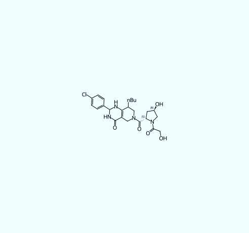 CCCCC1CN(C(=O)[C@@H]2C[C@@H](O)CN2C(=O)CO)CC2=C1NC(c1ccc(Cl)cc1)NC2=O